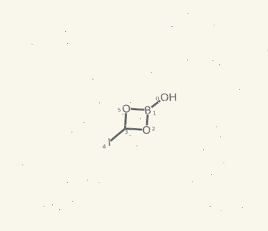 OB1OC(I)O1